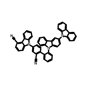 N#Cc1cc(-n2c3ccccc3c3c(C#N)cccc32)ccc1-c1ccccc1-n1c2ccccc2c2cc(-n3c4ccccc4c4ccccc43)ccc21